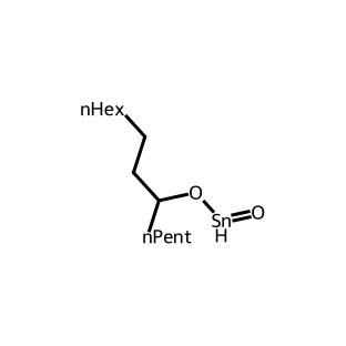 CCCCCCCCC(CCCCC)[O][SnH]=[O]